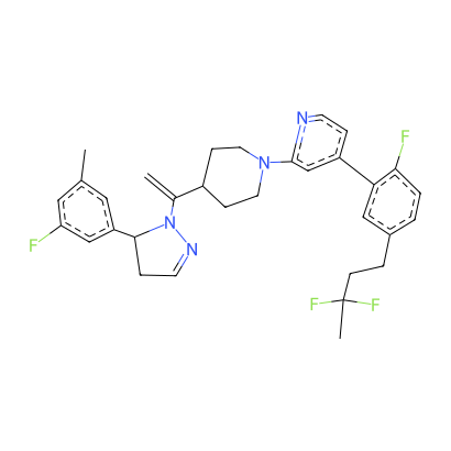 C=C(C1CCN(c2cc(-c3cc(CCC(C)(F)F)ccc3F)ccn2)CC1)N1N=CCC1c1cc(C)cc(F)c1